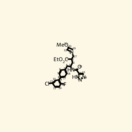 CCOC(=O)C(CC(Cc1ccc(-c2cc(Cl)ccc2F)cc1)NC(=O)c1cnn[nH]1)CN1CC(OC)C1